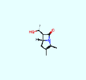 CC1=C(C)N2C(=O)[C@H]([C@@H](C)O)[C@H]2C1